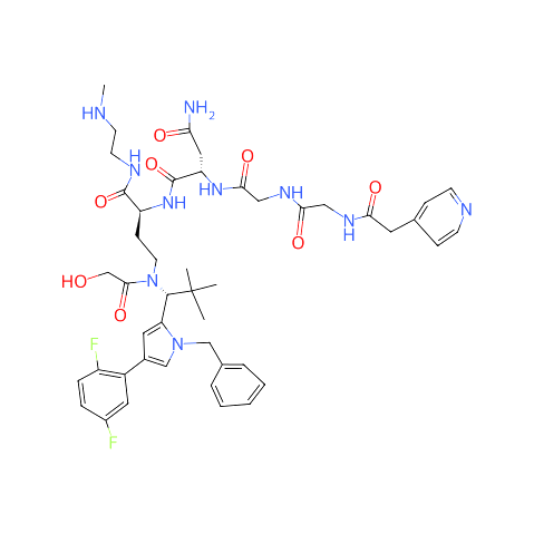 CNCCNC(=O)[C@H](CCN(C(=O)CO)[C@@H](c1cc(-c2cc(F)ccc2F)cn1Cc1ccccc1)C(C)(C)C)NC(=O)[C@H](CC(N)=O)NC(=O)CNC(=O)CNC(=O)Cc1ccncc1